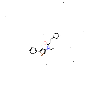 CCN(C(=O)CCC1CCCC1)c1csc(-c2ccccc2)c1